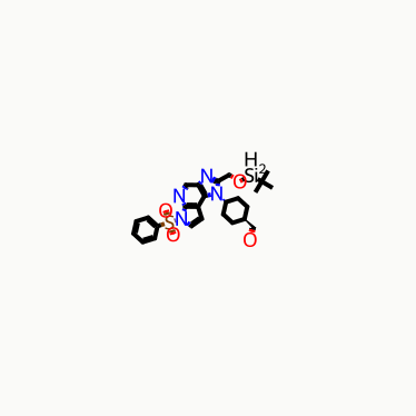 CC(C)(C)[SiH2]OCc1nc2cnc3c(ccn3S(=O)(=O)c3ccccc3)c2n1[C@H]1CC[C@H](C=O)CC1